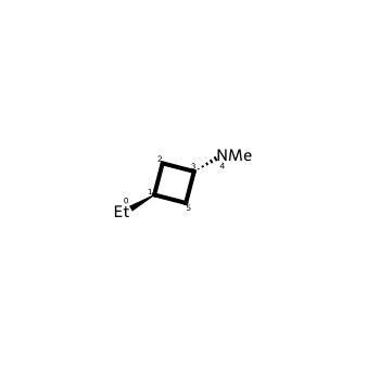 CC[C@H]1C[C@H](NC)C1